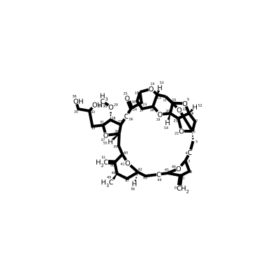 C=C1CC2CC[C@@]34C[C@H]5OC6C(O3)[C@H]3OC(CCC3O[C@H]6C5O4)CC(=O)CC3[C@@H](OC)C(CC(O)CO)O[C@H]3CC3O[C@@H](CCC1O2)C[C@@H](C)C3=C